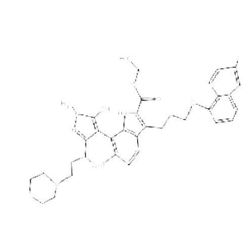 CCOC(=O)c1[nH]c2c(-c3c(C(O)CCN4CCOCC4)nn(C)c3C)c(F)ccc2c1CCCOc1cccc2cc(F)ccc12